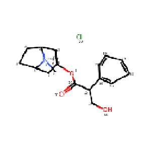 CC(C)[N+]1(C)C2CCC1CC(OC(=O)C(CO)c1ccccc1)C2.[Cl-]